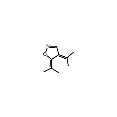 CC(C)=c1cnoc1=C(C)C